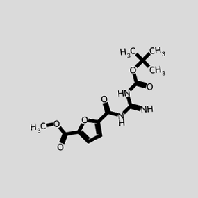 COC(=O)c1ccc(C(=O)NC(=N)NC(=O)OC(C)(C)C)o1